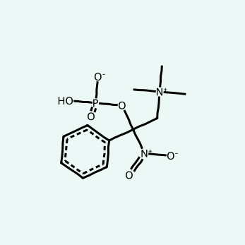 C[N+](C)(C)CC(OP(=O)([O-])O)(c1ccccc1)[N+](=O)[O-]